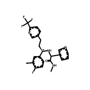 CNC(=O)C(N[C@H](CCc1ccc(C(F)(F)F)nc1)c1ccc(F)c(C)c1)c1cccnc1